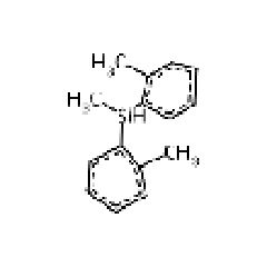 Cc1ccccc1[SiH](C)c1ccccc1C